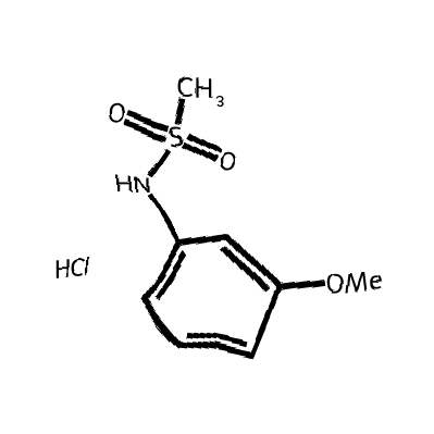 COc1cccc(NS(C)(=O)=O)c1.Cl